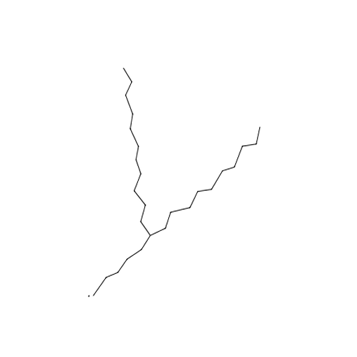 [CH2]CCCCC(CCCCCCCCCC)CCCCCCCCCCC